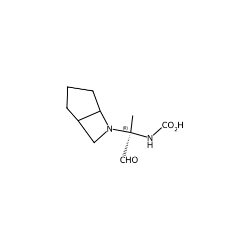 C[C@@](C=O)(NC(=O)O)N1CC2CCCC21